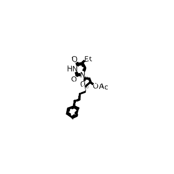 CCc1cn([C@@H]2CC(OC(C)=O)[C@H](CCCCc3ccccc3)O2)c(=O)[nH]c1=O